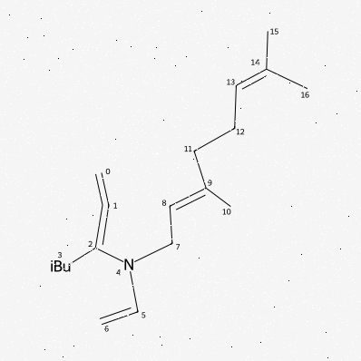 C=C=C(C(C)CC)N(C=C)C/C=C(\C)CCC=C(C)C